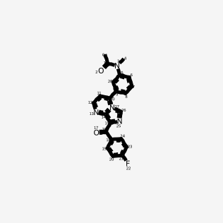 CC(=O)N(C)c1cccc(-c2ccnc3c(C(=O)c4ccc(F)cc4)ncn23)c1